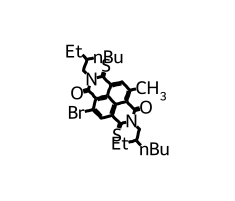 CCCCC(CC)CN1C(=O)c2c(C)cc3c4c(c(Br)cc(c24)C1=S)C(=O)N(CC(CC)CCCC)C3=S